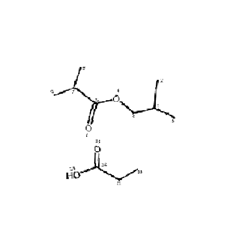 CC(C)COC(=O)C(C)C.CCC(=O)O